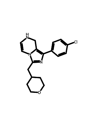 Clc1ccc(-c2nc(CC3CCOCC3)n3c2CNC=C3)cc1